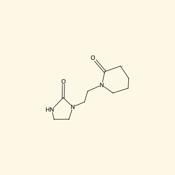 O=C1[CH]CCCN1CCN1CCNC1=O